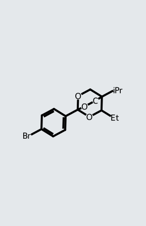 CCC1OC2(c3ccc(Br)cc3)OCC1(C(C)C)CO2